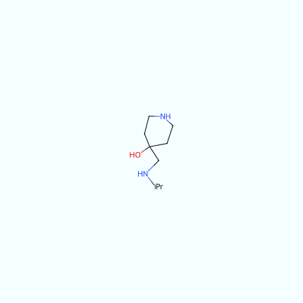 CC(C)NCC1(O)CCNCC1